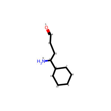 NC(CCC=O)C1CCCCC1